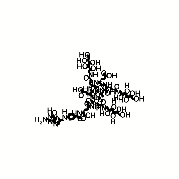 C[C@H](CS)NC(=O)[C@H](CCC(=O)NC[C@H](O)[C@@H](O)[C@H](O)[C@H](O)CO)NC(=O)[C@@H](CCC(=O)O)NC(=O)[C@H](CCC(=O)NC[C@H](O)[C@@H](O)[C@H](O)[C@H](O)CO)NC(=O)[C@@H](CCC(=O)O)NC(=O)[C@H](CCC(=O)NC[C@H](O)[C@@H](O)[C@H](O)[C@H](O)CO)NC(=O)CC[C@@H](NC(=O)c1ccc(NCc2cnc3nc(N)[nH]c(=O)c3n2)cc1)C(=O)O